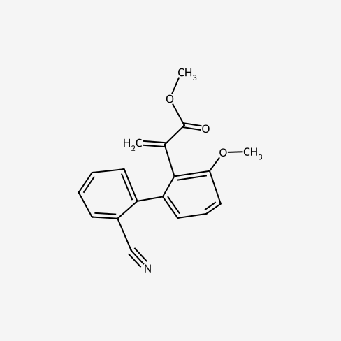 C=C(C(=O)OC)c1c(OC)cccc1-c1ccccc1C#N